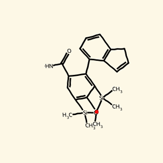 COc1c2cc(C([NH])=O)c(-c3cccc4c3C=CC4)c1[Si](C)(C)O[Si]2(C)C